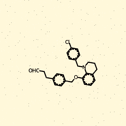 O=CCCc1ccc(COc2cccc3c2N(Cc2ccc(Cl)cc2)CCC3)cc1